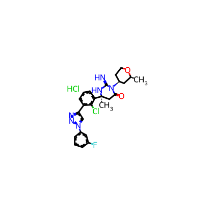 C[C@H]1C[C@@H](N2C(=N)N[C@](C)(c3cccc(-c4cn(-c5cccc(F)c5)nn4)c3Cl)CC2=O)CCO1.Cl